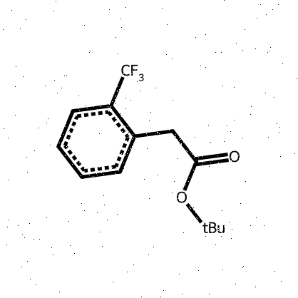 CC(C)(C)OC(=O)Cc1ccccc1C(F)(F)F